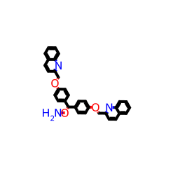 NOC(c1ccc(OCc2ccc3ccccc3n2)cc1)c1ccc(OCc2ccc3ccccc3n2)cc1